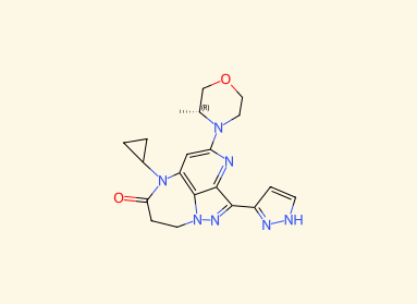 C[C@@H]1COCCN1c1cc2c3c(n1)c(-c1cc[nH]n1)nn3CCC(=O)N2C1CC1